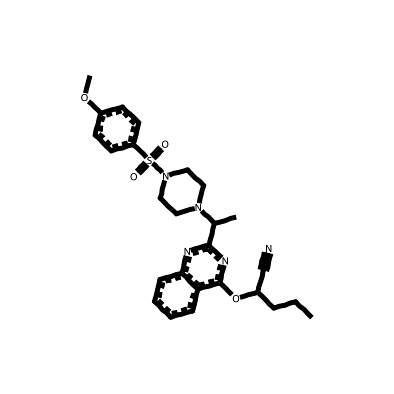 CCCC(C#N)Oc1nc(C(C)N2CCN(S(=O)(=O)c3ccc(OC)cc3)CC2)nc2ccccc12